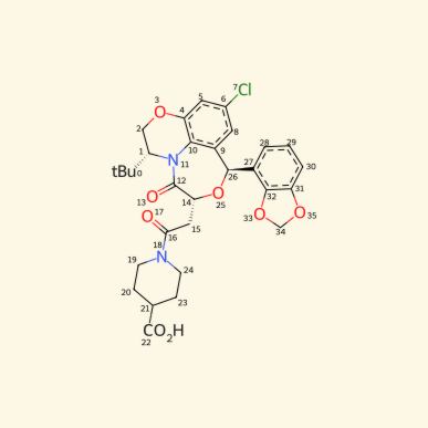 CC(C)(C)[C@@H]1COc2cc(Cl)cc3c2N1C(=O)[C@@H](CC(=O)N1CCC(C(=O)O)CC1)O[C@@H]3c1cccc2c1OCO2